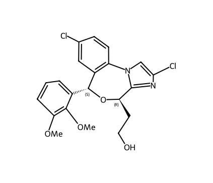 COc1cccc([C@H]2O[C@H](CCO)c3nc(Cl)cn3-c3ccc(Cl)cc32)c1OC